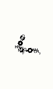 CNC1CCC(COc2nc(Nc3ccc(N4CCOCC4)cc3)ncc2F)CC1